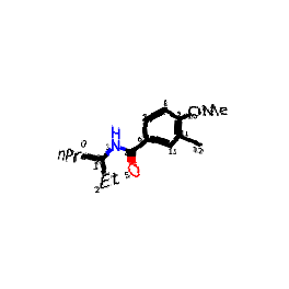 CCCC(CC)NC(=O)c1ccc(OC)c(C)c1